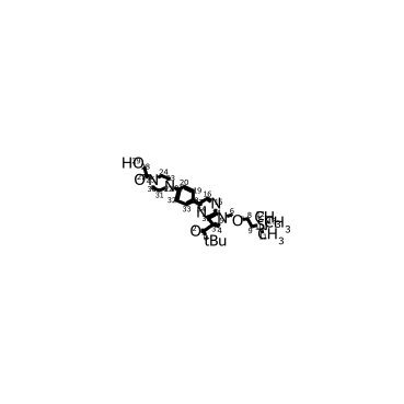 CC(C)(C)C(=O)c1cn(COCC[Si](C)(C)C)c2ncc(-c3ccc(N4CCN(C(=O)CO)CC4)cc3)nc12